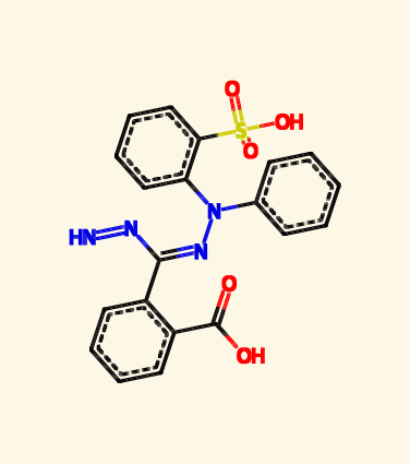 N=NC(=NN(c1ccccc1)c1ccccc1S(=O)(=O)O)c1ccccc1C(=O)O